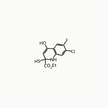 CCOC(=O)C1(S)C=C(O)c2cc(F)c(Cl)cc2N1